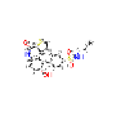 CC(C)CCNS(=O)(=O)c1ccc(-c2c(O)ccc3[nH]c(=O)c4sccc4c23)cc1